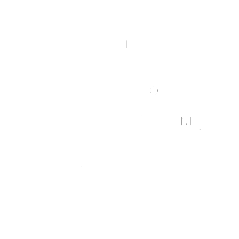 Nc1ccc(-c2ccccc2)cc1OC(F)F